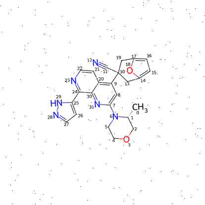 C[C@@H]1COCCN1c1cc(C2(C#N)Cc3ccc(o3)C2)c2ccnc(-c3ccn[nH]3)c2n1